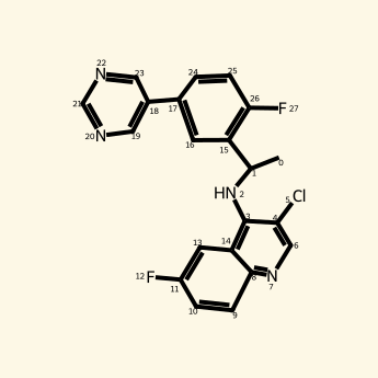 CC(Nc1c(Cl)cnc2ccc(F)cc12)c1cc(-c2cncnc2)ccc1F